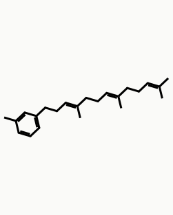 CC(C)=CCC/C(C)=C/CC/C(C)=C/CCc1cccc(C)c1